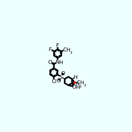 Cc1cc(NC(=O)c2ccc(Cl)c(S(=O)(=O)[C@@H]3CC4C[C@H](C)[C@@H](C3)[C@]4(C)O)c2)cc(F)c1F